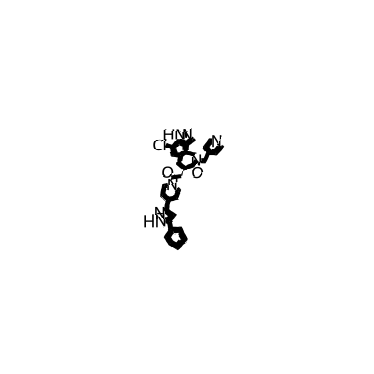 O=C(C[C@@H]1Cc2cc(Cl)c3[nH]ncc3c2CN(Cc2ccncc2)C1=O)N1CCC(c2cc(-c3ccccc3)[nH]n2)CC1